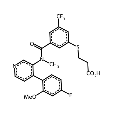 COc1cc(F)ccc1-c1ccncc1N(C)C(=O)c1cc(SCCC(=O)O)cc(C(F)(F)F)c1